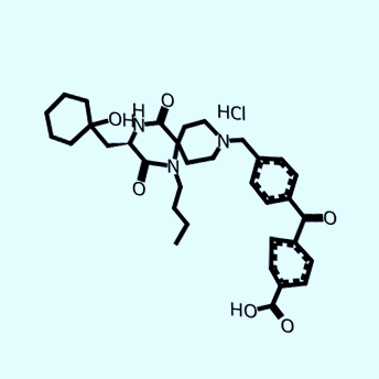 CCCCN1C(=O)[C@@H](CC2(O)CCCCC2)NC(=O)C12CCN(Cc1ccc(C(=O)c3ccc(C(=O)O)cc3)cc1)CC2.Cl